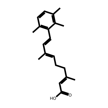 CC(C=Cc1c(C)ccc(C)c1C)=CCCC(C)=CC(=O)O